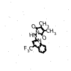 CC1=C(C)C(=O)N(Nc2cc(C(F)(F)F)c3ccccc3n2)C1=O